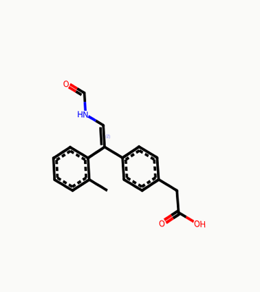 Cc1ccccc1/C(=C\NC=O)c1ccc(CC(=O)O)cc1